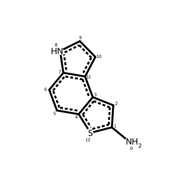 Nc1cc2c(ccc3[nH]ccc32)s1